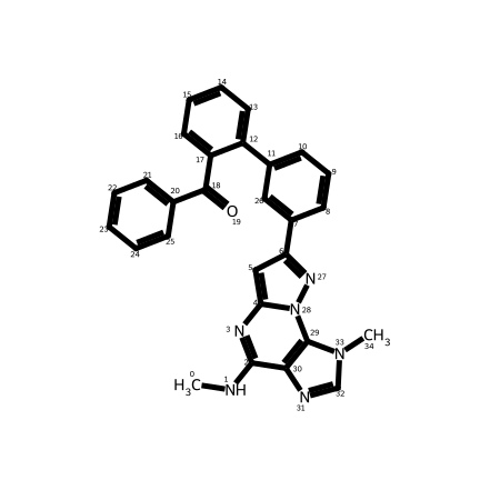 CNc1nc2cc(-c3cccc(-c4ccccc4C(=O)c4ccccc4)c3)nn2c2c1ncn2C